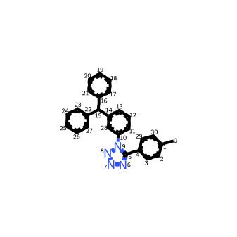 Cc1ccc(-c2nnnn2-c2cccc(C(c3ccccc3)c3ccccc3)c2)cc1